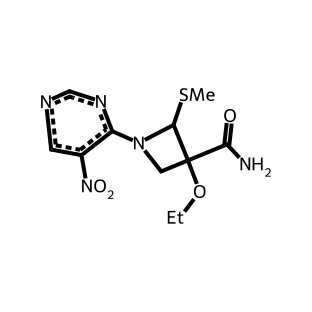 CCOC1(C(N)=O)CN(c2ncncc2[N+](=O)[O-])C1SC